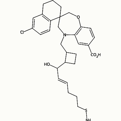 NSCCC/C=C/C(O)C1CCC1CN1CC2(CCCc3cc(Cl)ccc32)COc2ccc(C(=O)O)cc21